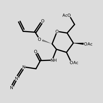 C=CC(=O)O[C@@H]1OC(COC(C)=O)[C@@H](OC(C)=O)C(OC(C)=O)C1NC(=O)CN=[N+]=[N-]